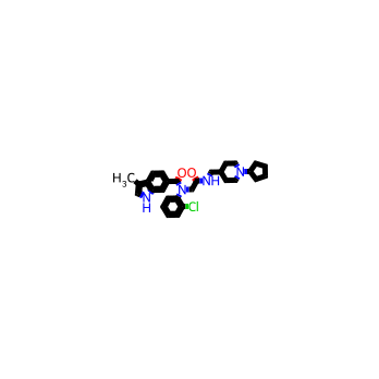 Cc1c[nH]c2cc(C(=O)N(CC(=O)NCC3CCN(C4CCCC4)CC3)c3ccccc3Cl)ccc12